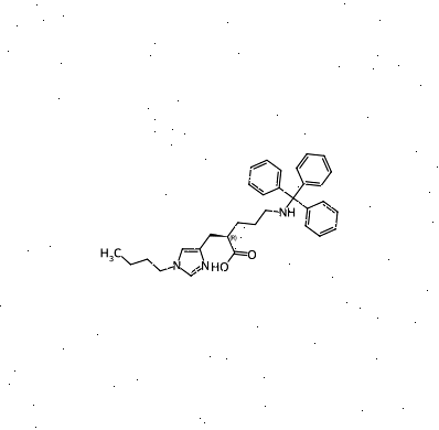 CCCCn1cnc(C[C@@H](CCCNC(c2ccccc2)(c2ccccc2)c2ccccc2)C(=O)O)c1